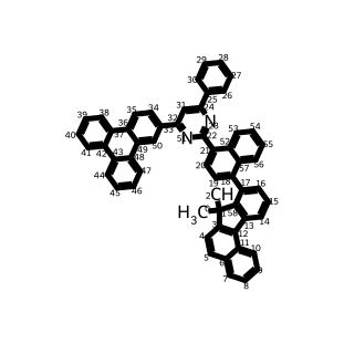 CC1(C)c2ccc3ccccc3c2-c2cccc(-c3ccc(-c4nc(-c5ccccc5)cc(-c5ccc6c7ccccc7c7ccccc7c6c5)n4)c4ccccc34)c21